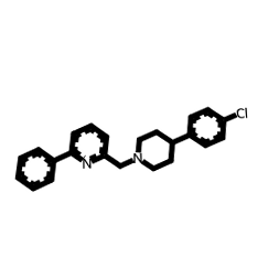 Clc1ccc(C2CCN(Cc3cccc(-c4ccccc4)n3)CC2)cc1